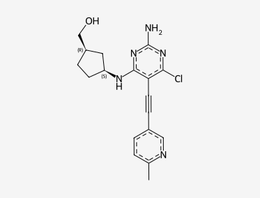 Cc1ccc(C#Cc2c(Cl)nc(N)nc2N[C@H]2CC[C@@H](CO)C2)cn1